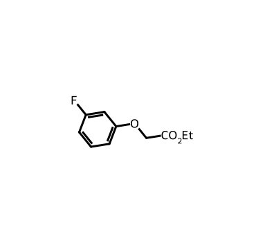 CCOC(=O)COc1cccc(F)c1